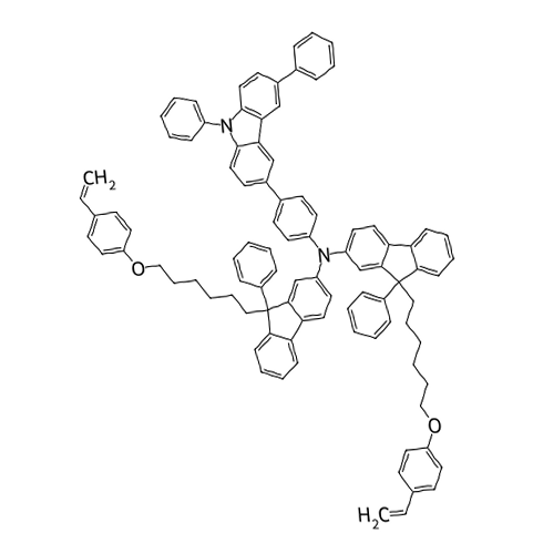 C=Cc1ccc(OCCCCCCC2(c3ccccc3)c3ccccc3-c3ccc(N(c4ccc(-c5ccc6c(c5)c5cc(-c7ccccc7)ccc5n6-c5ccccc5)cc4)c4ccc5c(c4)C(CCCCCCOc4ccc(C=C)cc4)(c4ccccc4)c4ccccc4-5)cc32)cc1